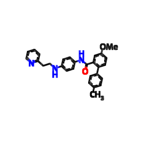 COc1ccc(-c2ccc(C)cc2)c(C(=O)Nc2ccc(NCCc3ccccn3)cc2)c1